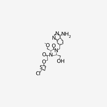 COC[C@H]1C(=O)N(Cc2ccc3c(N)ncnc3c2)[C@@H](CO)CN1C(=O)COc1ccc(Cl)s1